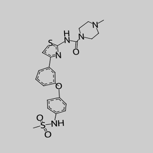 CN1CCN(C(=O)Nc2nc(-c3cccc(Oc4ccc(NS(C)(=O)=O)cc4)c3)cs2)CC1